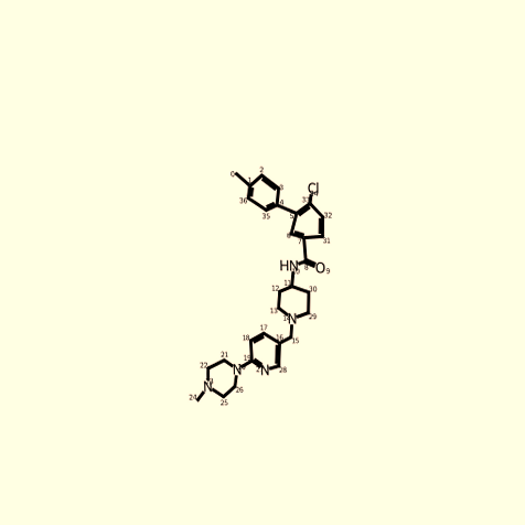 Cc1ccc(-c2cc(C(=O)NC3CCN(Cc4ccc(N5CCN(C)CC5)nc4)CC3)ccc2Cl)cc1